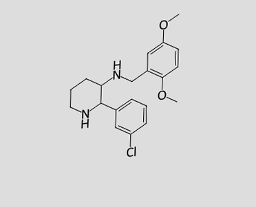 COc1ccc(OC)c(CNC2CCCNC2c2cccc(Cl)c2)c1